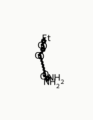 CCC1CCC(C(=O)Oc2ccc(C=CC(=O)OCCCCCCCCCCCOC(=O)c3cc(N)cc(N)c3)cc2)CC1